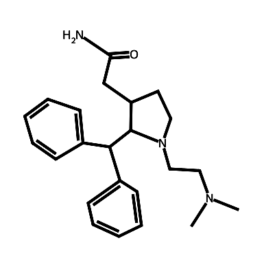 CN(C)CCN1CCC(CC(N)=O)C1C(c1ccccc1)c1ccccc1